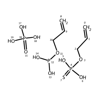 C=CCOP(O)(O)=S.C=CCOP(O)O.O=P(O)(O)O